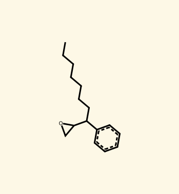 CCCCCCCC(c1ccccc1)C1CO1